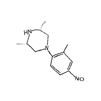 Cc1cc(N=O)ccc1N1C[C@@H](C)N[C@@H](C)C1